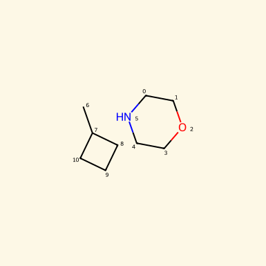 C1COCCN1.CC1CCC1